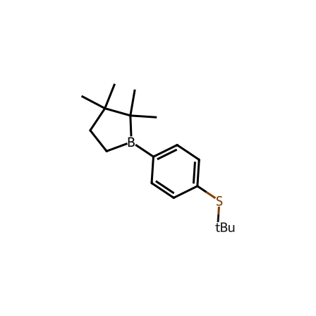 CC(C)(C)Sc1ccc(B2CCC(C)(C)C2(C)C)cc1